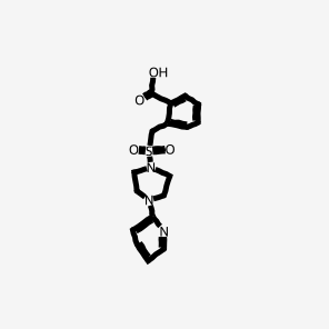 O=C(O)c1ccccc1CS(=O)(=O)N1CCN(c2ccccn2)CC1